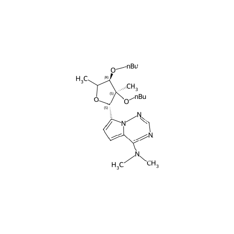 CCCCO[C@@H]1C(C)O[C@@H](c2ccc3c(N(C)C)ncnn23)[C@]1(C)OCCCC